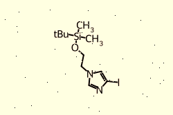 CC(C)(C)[Si](C)(C)OCCn1cnc(I)c1